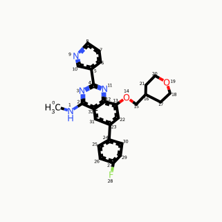 CNc1nc(-c2cccnc2)nc2c(OCC3CCOCC3)cc(-c3ccc(F)cc3)cc12